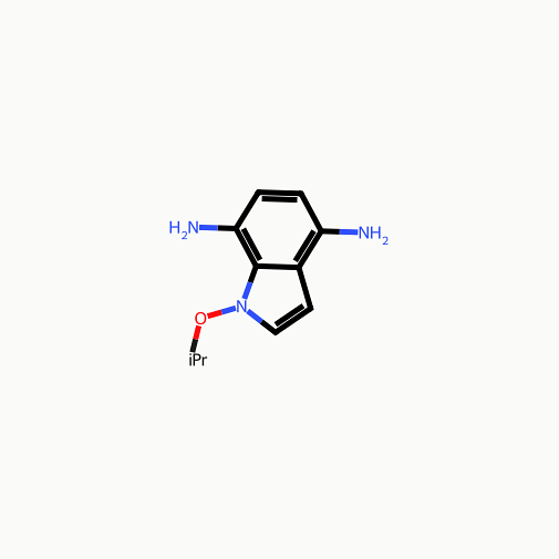 CC(C)On1ccc2c(N)ccc(N)c21